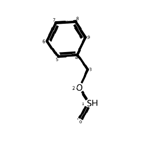 [CH]=[SH]OCc1ccccc1